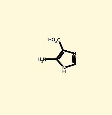 Nc1[nH]cnc1C(=O)O